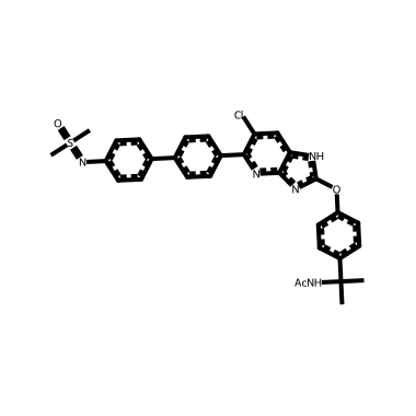 CC(=O)NC(C)(C)c1ccc(Oc2nc3nc(-c4ccc(-c5ccc(N=S(C)(C)=O)cc5)cc4)c(Cl)cc3[nH]2)cc1